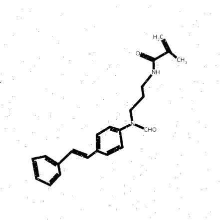 C=C(C)C(=O)NCCCN(C=O)c1ccc(C=Cc2ccccc2)cc1